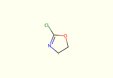 ClC1=N[CH]CO1